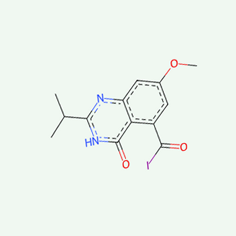 COc1cc(C(=O)I)c2c(=O)[nH]c(C(C)C)nc2c1